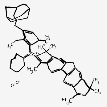 CC1=CC(C)(C)c2cc3c(cc21)-c1cc2c(cc1C3)C(C)(C)[C]([Zr+2]([C]1=C(C)C(CC34CC5CC(CC(C5)C3)C4)=CC1C)=[C]1CCCCC1)=C2C.[Cl-].[Cl-]